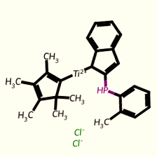 CC1=C(C)C(C)(C)[C]([Ti+2][CH]2C(Pc3ccccc3C)=Cc3ccccc32)=C1C.[Cl-].[Cl-]